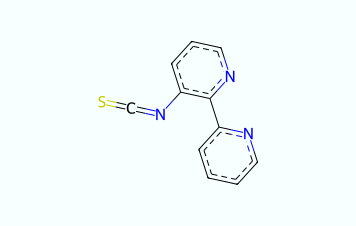 S=C=Nc1cccnc1-c1ccccn1